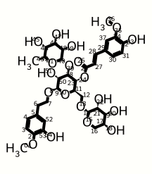 COc1ccc(CCO[C@@H]2O[C@H](CO[C@@H]3OC[C@H](O)[C@H](O)[C@H]3O)[C@@H](OC(=O)/C=C/c3ccc(O)c(OC)c3)[C@H](O[C@@H]3O[C@@H](C)[C@H](O)[C@@H](O)[C@H]3O)[C@H]2O)cc1O